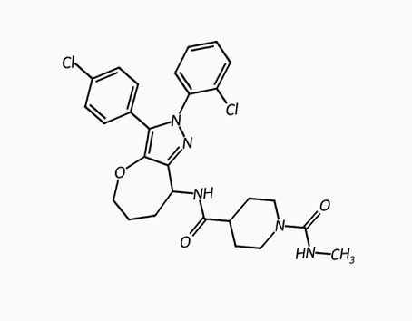 CNC(=O)N1CCC(C(=O)NC2CCCOc3c2nn(-c2ccccc2Cl)c3-c2ccc(Cl)cc2)CC1